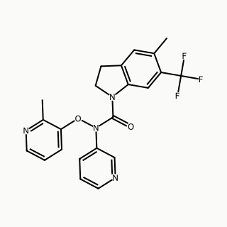 Cc1cc2c(cc1C(F)(F)F)N(C(=O)N(Oc1cccnc1C)c1cccnc1)CC2